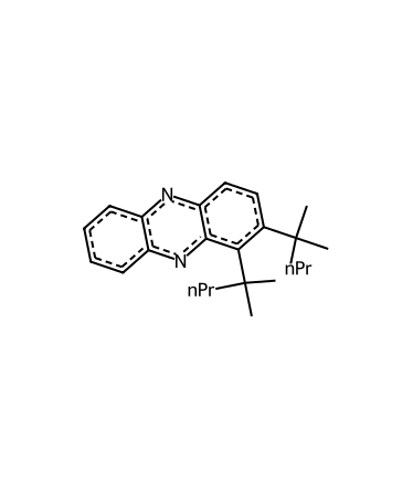 CCCC(C)(C)c1ccc2nc3ccccc3nc2c1C(C)(C)CCC